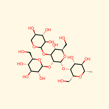 C[C@@H]1O[C@H](CO)[C@H](O[C@H]2O[C@H](CO)[C@@H](O)[C@H](OC3OC[C@@H](O)[C@H](O)[C@H]3O)[C@H]2O[C@@H]2O[C@H](CO)[C@@H](O)[C@H](O)[C@H]2O)[C@H](O)[C@H]1O